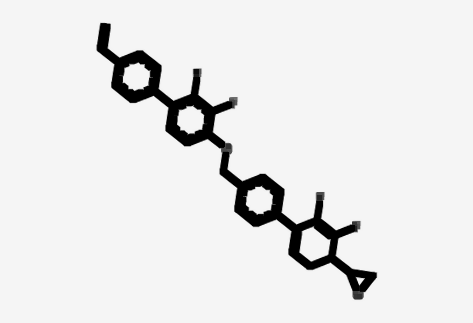 C=Cc1ccc(-c2ccc(OCc3ccc(C4=CCC(C5CO5)C(F)=C4F)cc3)c(F)c2F)cc1